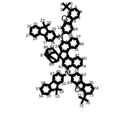 CC(C)(C)c1cccc2c1oc1cc(N(c3ccc4c(c3)C(C)(C)c3ccccc3-4)c3cc4c(c5ccccc35)-c3c(cc(N(c5ccc6c(c5)C(C)(C)c5ccccc5-6)c5ccc6c(c5)oc5c(C(C)(C)C)cccc56)c5ccccc35)C43C4CC5CC(C4)CC3C5)ccc12